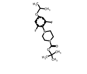 CC(C)Oc1cc(F)c(N2CCN(C(=O)OC(C)(C)C)CC2)c(F)c1